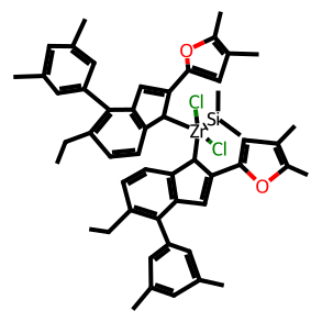 CCc1ccc2c(c1-c1cc(C)cc(C)c1)C=C(c1cc(C)c(C)o1)[CH]2[Zr]([Cl])([Cl])([CH]1C(c2cc(C)c(C)o2)=Cc2c1ccc(CC)c2-c1cc(C)cc(C)c1)=[Si](C)C